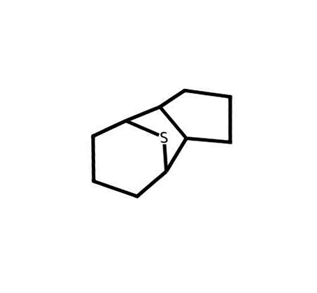 C1CC2SC(C1)C1CCCC21